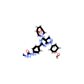 CNC(=O)Nc1ccc(-c2nc(N3CC4CCC(C3)O4)c3cnn([C@H]4CC[C@@H](OC)CC4)c3n2)cc1